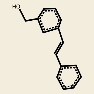 OCc1cccc(/C=C/c2ccccc2)c1